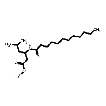 CCCCCCCCCCCC(=O)NC(CC(=O)OC)CC(C)C